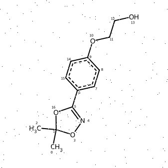 CC1(C)ON=C(c2ccc(OCCO)cc2)O1